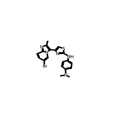 Cc1nc2ccc(Br)cn2c1-c1csc(Nc2ccc(N(C)C)cc2)n1